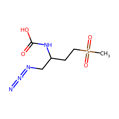 CS(=O)(=O)CCC(CN=[N+]=[N-])NC(=O)O